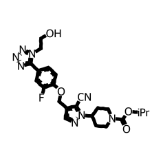 CC(C)OC(=O)N1CCC(n2ncc(COc3ccc(-c4nnnn4CCO)cc3F)c2C#N)CC1